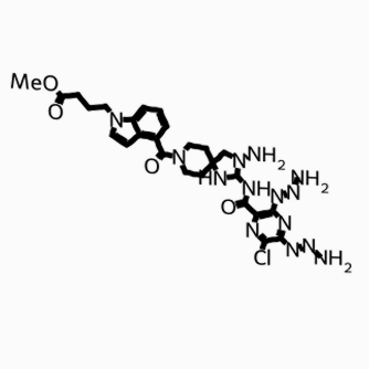 COC(=O)CCCn1ccc2c(C(=O)N3CCC4(CC3)CN(N)C(NC(=O)c3nc(Cl)c(N=NN)nc3N=NN)N4)cccc21